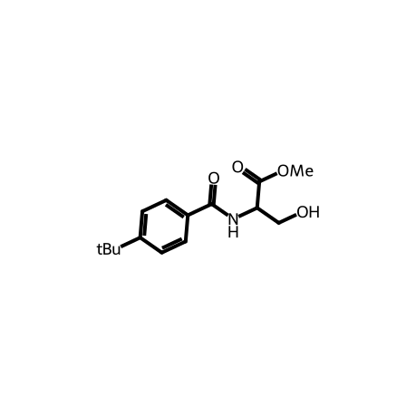 COC(=O)C(CO)NC(=O)c1ccc(C(C)(C)C)cc1